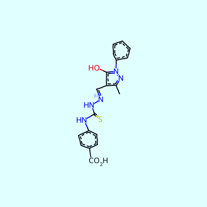 Cc1nn(-c2ccccc2)c(O)c1/C=N/NC(=S)Nc1ccc(C(=O)O)cc1